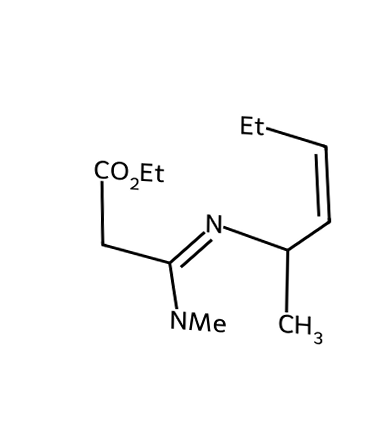 CC/C=C\C(C)/N=C(/CC(=O)OCC)NC